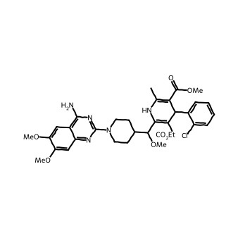 CCOC(=O)C1=C(C(OC)C2CCN(c3nc(N)c4cc(OC)c(OC)cc4n3)CC2)NC(C)=C(C(=O)OC)C1c1ccccc1Cl